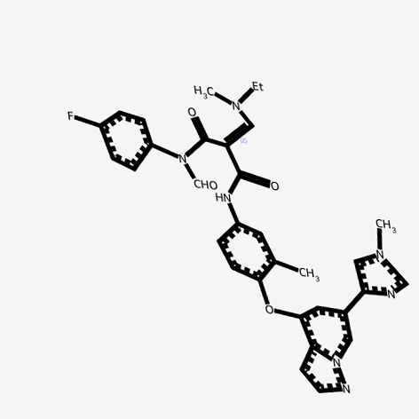 CCN(C)/C=C(/C(=O)Nc1ccc(Oc2cc(-c3cn(C)cn3)cn3nccc23)c(C)c1)C(=O)N(C=O)c1ccc(F)cc1